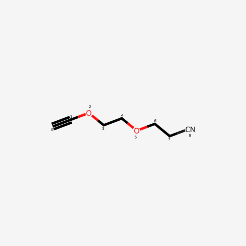 C#COCCOCCC#N